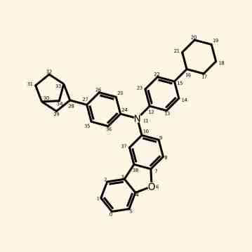 c1ccc2c(c1)oc1ccc(N(c3ccc(C4CCCCC4)cc3)c3ccc(C4CC5CCC4C5)cc3)cc12